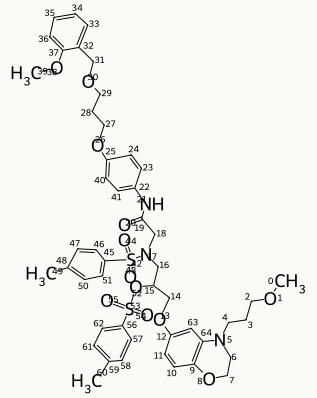 COCCCN1CCOc2ccc(OCC(CN(CC(=O)Nc3ccc(OCCCOCc4ccccc4OC)cc3)S(=O)(=O)c3ccc(C)cc3)OS(=O)(=O)c3ccc(C)cc3)cc21